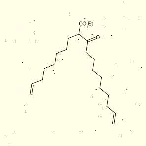 C=CCCCCCCCC(=O)C(CCCCCCC=C)C(=O)OCC